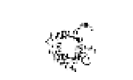 CC(C)C[C@H]1C(=O)N[C@@H](C2CCCCCC2)C(=O)N[C@@H](CN)C(=O)N[C@@H](COCCCN)C(=O)N[C@H](C)CO[C@H](CC2CCCCC2)[C@@H](C)C(=O)N1C